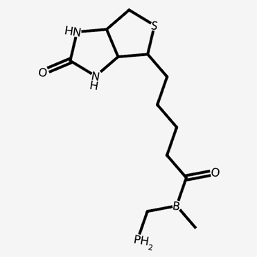 CB(CP)C(=O)CCCCC1SCC2NC(=O)NC21